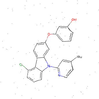 CC(C)(C)c1ccnc(-n2c3cc(Oc4cccc(O)c4)ccc3c3c(Cl)cccc32)c1